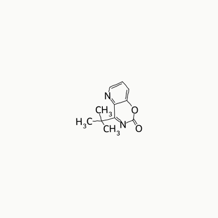 CC(C)(C)c1nc(=O)oc2cccnc12